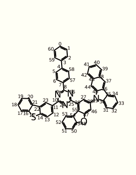 c1ccc(-c2ccc(-c3nc(-c4ccc5sc6ccccc6c5c4)nc(-c4cc(-n5c6ccccc6c6cc7ccccc7cc65)cc5oc6ccccc6c45)n3)cc2)cc1